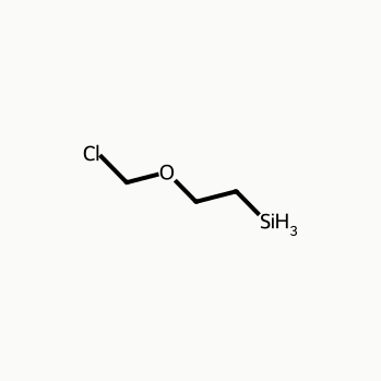 [SiH3]CCOCCl